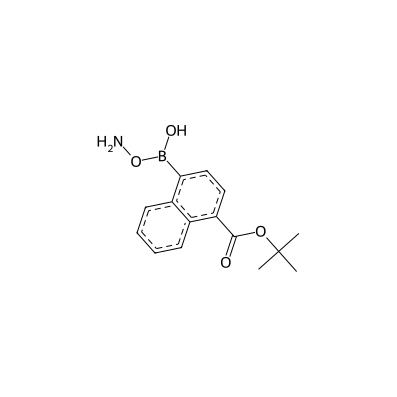 CC(C)(C)OC(=O)c1ccc(B(O)ON)c2ccccc12